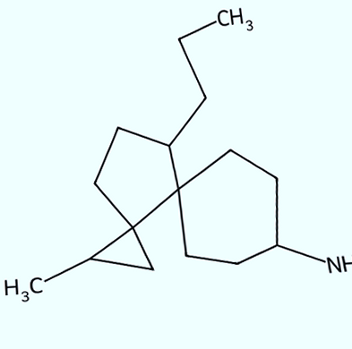 CCCC1CCC2(CC2C)C12CCC(N)CC2